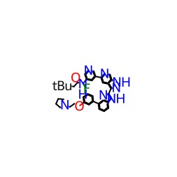 CC(C)(C)CC(=O)Nc1cncc(-c2cc3c(-c4nc5c(-c6cc(F)cc(OCCN7CCCC7)c6)cccc5[nH]4)n[nH]c3cn2)c1